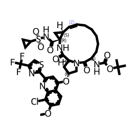 COc1ccc2c(O[C@@H]3C[C@H]4C(=O)N[C@]5(C(=O)NS(=O)(=O)C6CC6)C[C@H]5/C=C\CCCCC[C@H](NC(=O)OC(C)(C)C)C(=O)N4C3)cc(-c3nc(C(F)(F)F)cs3)nc2c1Cl